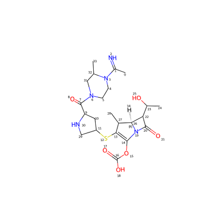 CC(=N)N1CCN(C(=O)C2CC(SC3=C(OC(=O)O)N4C(=O)C(C(C)O)[C@@H]4C3C)CN2)CC1C